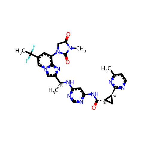 Cc1ccnc([C@H]2C[C@@H]2C(=O)Nc2cc(N[C@H](C)c3cn4cc(C(C)(F)F)cc(N5CC(=O)N(C)C5=O)c4n3)ncn2)n1